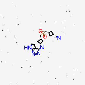 CN(c1ncnc2[nH]ccc12)[C@H]1C[C@@H](CS(=O)(=O)C[C@H]2C[C@@H](C#N)C2)C1